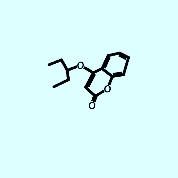 CCC(CC)Oc1cc(=O)oc2ccccc12